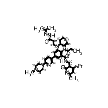 C=CC(=O)Nc1c(C(=O)NCC2C(=O)N=C(C)C=C2CCC)cc(-c2ccc(N3CCN(C)CC3)nc2)cc1N(CCC(=O)NN=C(C)C)C1CCOCC1